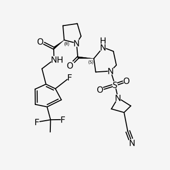 CC(F)(F)c1ccc(CNC(=O)[C@H]2CCCN2C(=O)[C@@H]2CN(S(=O)(=O)N3CC(C#N)C3)CCN2)c(F)c1